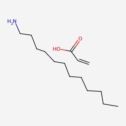 C=CC(=O)O.CCCCCCCCCCCCN